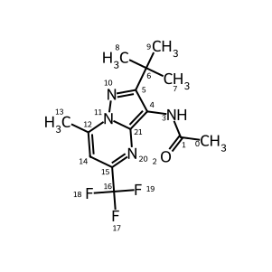 CC(=O)Nc1c(C(C)(C)C)nn2c(C)cc(C(F)(F)F)nc12